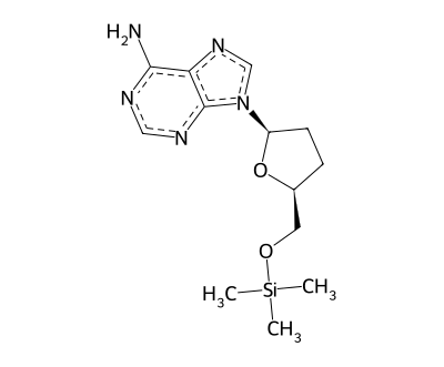 C[Si](C)(C)OC[C@@H]1CC[C@H](n2cnc3c(N)ncnc32)O1